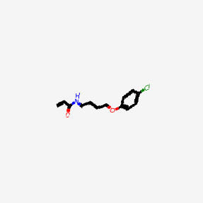 C=CC(=O)NCCCCOc1ccc(Cl)cc1